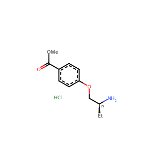 CC[C@H](N)COc1ccc(C(=O)OC)cc1.Cl